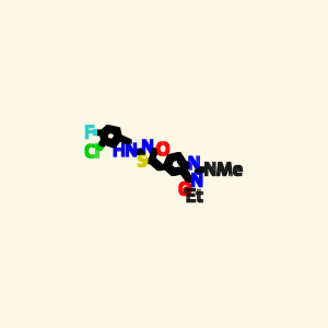 CCOc1nc(NC)nc2ccc(/C=C3/SC(NCc4ccc(F)c(Cl)c4)=NC3=O)cc12